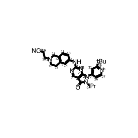 CC(C)n1c(=O)c2cnc(Nc3ccc4c(c3)CCN(CCC#N)C4)nc2n1-c1ccnc(C(C)(C)C)c1